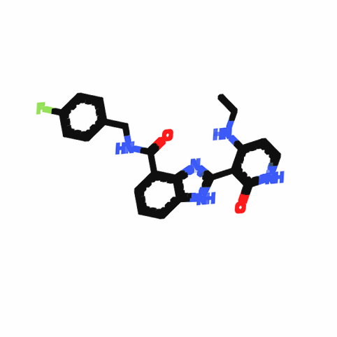 CCNc1cc[nH]c(=O)c1-c1nc2c(C(=O)NCc3ccc(F)cc3)cccc2[nH]1